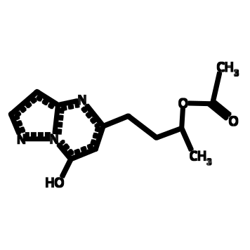 CC(=O)OC(C)CCc1cc(O)n2nccc2n1